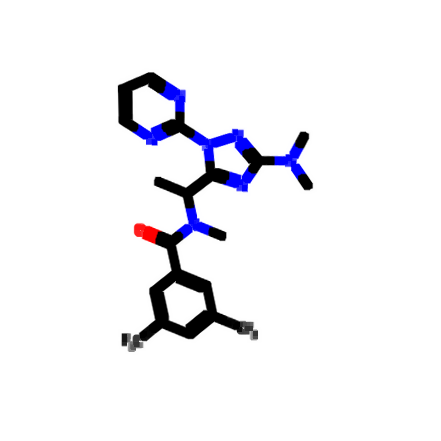 CC(c1nc(N(C)C)nn1-c1ncccn1)N(C)C(=O)c1cc(C(F)(F)F)cc(C(F)(F)F)c1